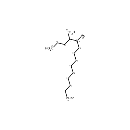 CCCCCCCCCCCCCCCCCCN(C(C)=O)C(CCC(=O)O)C(=O)O